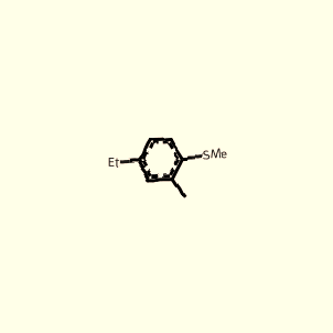 CCc1ccc(SC)c(C)c1